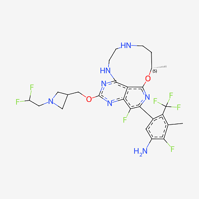 Cc1c(F)c(N)cc(-c2nc3c4c(nc(OCC5CN(CC(F)F)C5)nc4c2F)NCCNCC[C@H](C)O3)c1C(F)(F)F